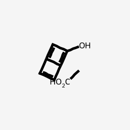 CC(=O)O.Oc1cc2ccc1-2